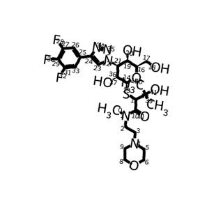 CN(CCN1CCOCC1)C(=O)C(S[C@@H]1O[C@H](CO)[C@H](O)[C@H](n2cc(-c3cc(F)c(F)c(F)c3)nn2)[C@H]1O)C(C)(C)O